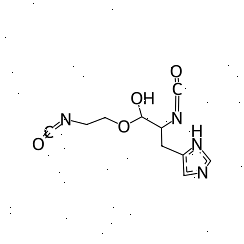 O=C=NCCOC(O)C(Cc1cnc[nH]1)N=C=O